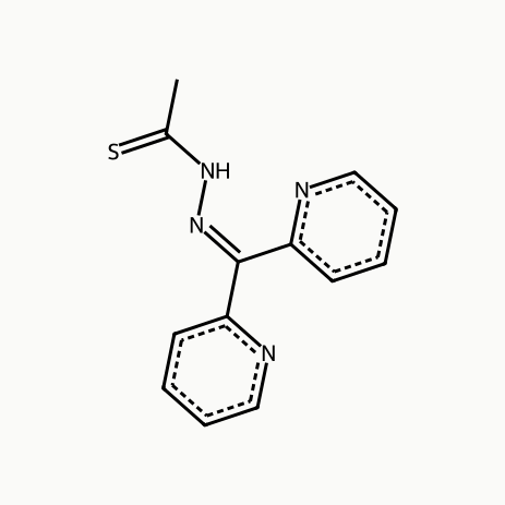 CC(=S)NN=C(c1ccccn1)c1ccccn1